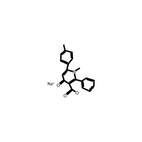 Cc1ccc(-c2cc(=O)c(C(=O)[O-])c(-c3ccccc3)n2C)cc1.[Na+]